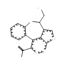 CC(C)CC1Nc2ccccc2-c2c(C(N)=O)nnc3[nH]cc1c23